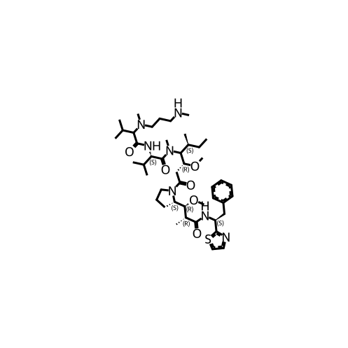 CC[C@H](C)C([C@@H](CC(=O)N1CCC[C@H]1[C@H](OC)[C@@H](C)C(=O)N[C@@H](Cc1ccccc1)c1nccs1)OC)N(C)C(=O)[C@@H](NC(=O)C(C(C)C)N(C)CCCNC)C(C)C